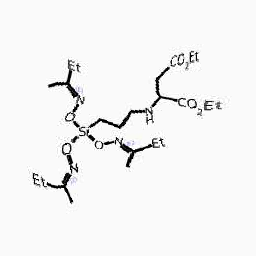 CCOC(=O)CC(NCCC[Si](O/N=C(/C)CC)(O/N=C(\C)CC)O/N=C(\C)CC)C(=O)OCC